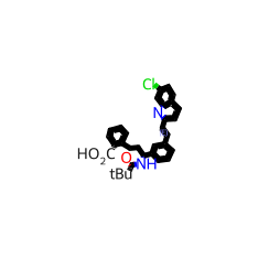 CC(C)(C)C(=O)NC(CCc1ccccc1C(=O)O)c1cccc(/C=C/c2ccc3ccc(Cl)cc3n2)c1